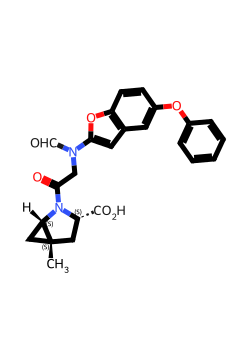 C[C@@]12C[C@@H]1N(C(=O)CN(C=O)c1cc3cc(Oc4ccccc4)ccc3o1)[C@H](C(=O)O)C2